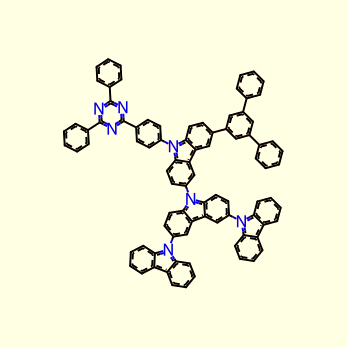 c1ccc(-c2cc(-c3ccccc3)cc(-c3ccc4c(c3)c3cc(-n5c6ccc(-n7c8ccccc8c8ccccc87)cc6c6cc(-n7c8ccccc8c8ccccc87)ccc65)ccc3n4-c3ccc(-c4nc(-c5ccccc5)nc(-c5ccccc5)n4)cc3)c2)cc1